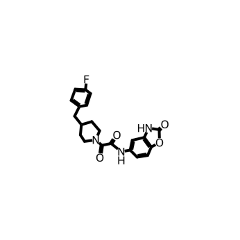 O=C(Nc1ccc2oc(=O)[nH]c2c1)C(=O)N1CCC(Cc2ccc(F)cc2)CC1